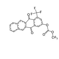 COC(=O)Oc1cc2c(c(C(F)(F)F)c1)C(=O)c1cc3ccccc3cc1C2=O